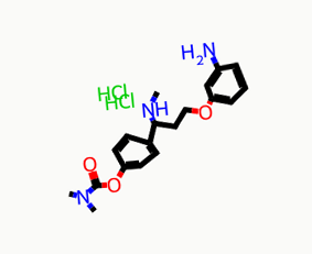 CNC(CCOc1cccc(N)c1)c1ccc(OC(=O)N(C)C)cc1.Cl.Cl